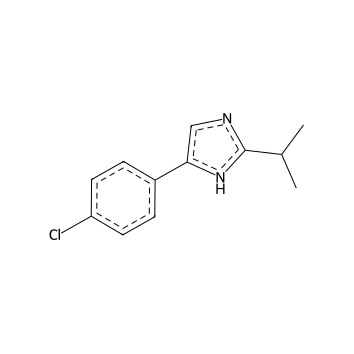 CC(C)c1ncc(-c2ccc(Cl)cc2)[nH]1